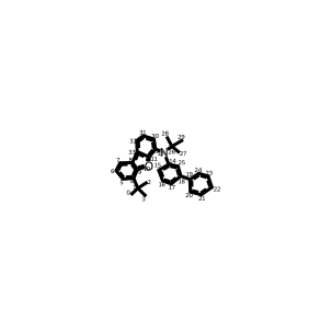 CC(C)(C)c1cccc2c1oc1c(N(c3cccc(-c4ccccc4)c3)C(C)(C)C)cccc12